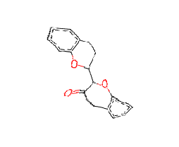 O=C1Cc2ccccc2OC1C1CCc2ccccc2O1